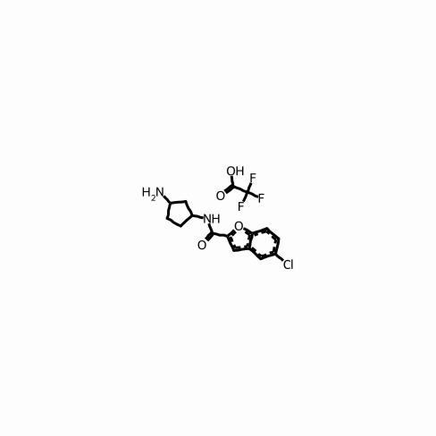 NC1CCC(NC(=O)c2cc3cc(Cl)ccc3o2)C1.O=C(O)C(F)(F)F